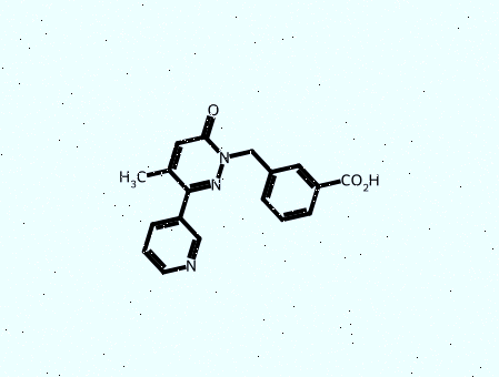 Cc1cc(=O)n(Cc2cccc(C(=O)O)c2)nc1-c1cccnc1